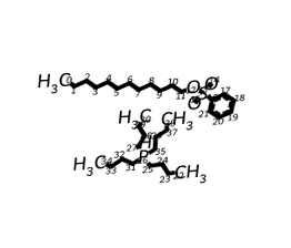 CCCCCCCCCCCCOS(=O)(=O)c1ccccc1.CCCC[PH](CCCC)(CCCC)CCCC